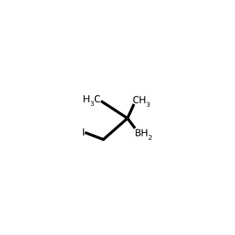 BC(C)(C)CI